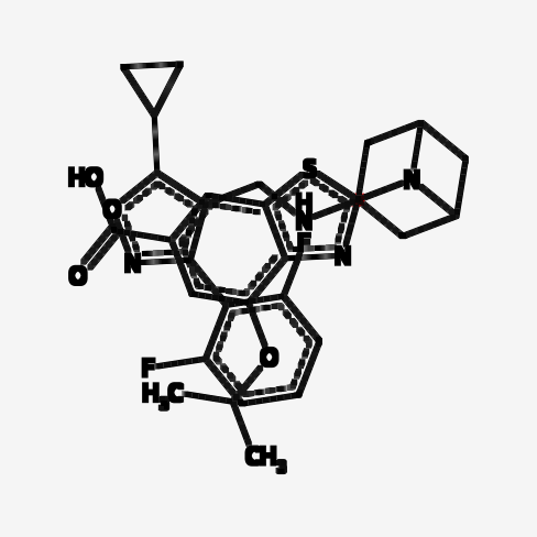 CC(C)Oc1cc(C(=O)O)cc2sc(N3C4CC(NCc5c(-c6c(F)cccc6F)noc5C5CC5)CC3C4)nc12